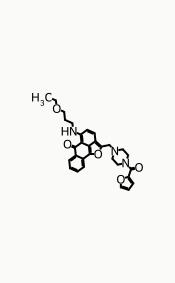 CCOCCCNc1ccc2c(CN3CCN(C(=O)c4ccco4)CC3)oc3c2c1C(=O)c1ccccc1-3